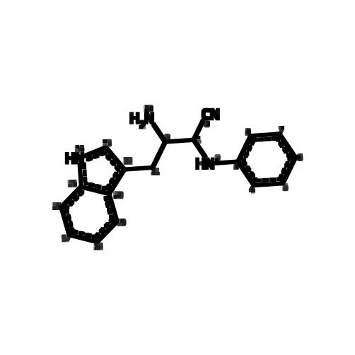 N#CC(Nc1ccccc1)C(N)Cc1c[nH]c2ccccc12